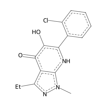 CCc1nn(C)c2[nH]c(-c3ccccc3Cl)c(O)c(=O)c12